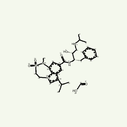 CC(C)NC[C@@H](O)[C@H](Cc1ccccc1)NC(=O)c1cc2c3c(c1)c(C(C)C)cn3CCS(=O)(=O)N2C.O=CO